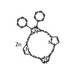 C1=Cc2cc3[nH]c(cc4nc(cc5ccc(cc1n2)[nH]5)C=C4)c(-c1ccccc1)c3-c1ccccc1.[Zn]